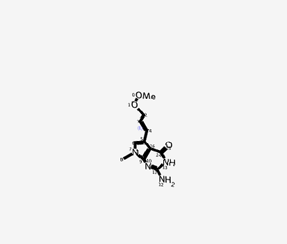 COOC/C=C/c1cn(C)c2nc(N)[nH]c(=O)c12